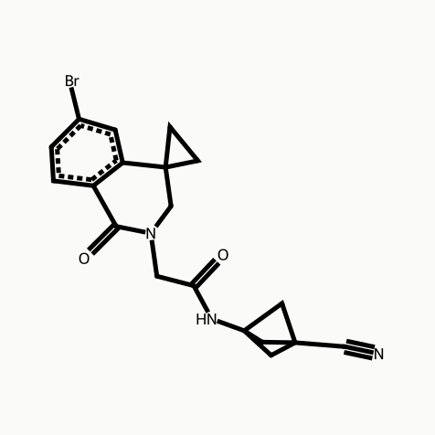 N#CC12CC(NC(=O)CN3CC4(CC4)c4cc(Br)ccc4C3=O)(C1)C2